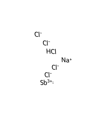 Cl.[Cl-].[Cl-].[Cl-].[Cl-].[Na+].[Sb+3]